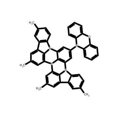 Cc1ccc2c(c1)c1cc(C)cc3c1n2-c1cc(N2c4ccccc4Oc4ccccc42)cc2c1B3c1cc(C)cc3c4cc(C)ccc4n-2c13